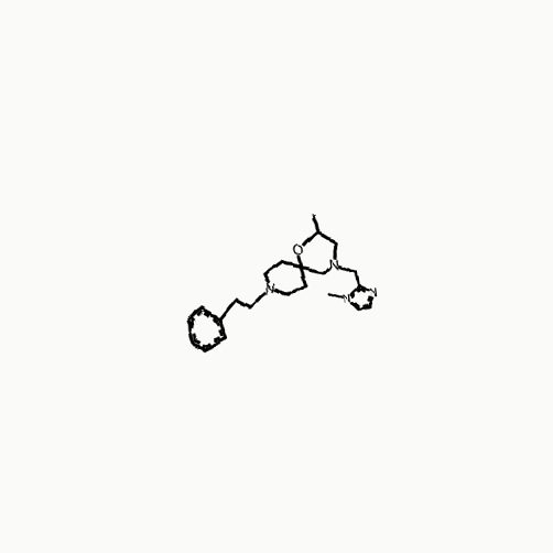 CC1CN(Cc2nccn2C)CC2(CCN(CCc3ccccc3)CC2)O1